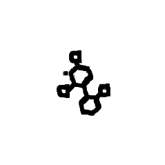 ClC1=CC=C(c2ccccc2Cl)C(Cl)[CH]1